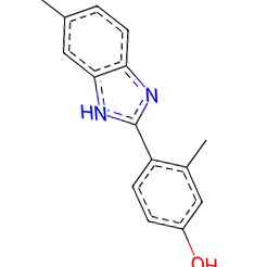 Cc1ccc2nc(-c3ccc(O)cc3C)[nH]c2c1